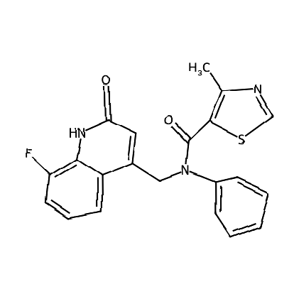 Cc1ncsc1C(=O)N(Cc1cc(=O)[nH]c2c(F)cccc12)c1ccccc1